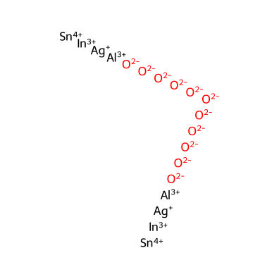 [Ag+].[Ag+].[Al+3].[Al+3].[In+3].[In+3].[O-2].[O-2].[O-2].[O-2].[O-2].[O-2].[O-2].[O-2].[O-2].[O-2].[O-2].[Sn+4].[Sn+4]